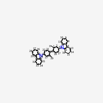 Cc1cc(-n2c3c(c4ccccc42)C=CCC3)ccc1-c1ccc(-n2c3ccccc3c3ccccc32)cc1C